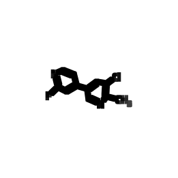 Cc1ncc(-c2ccnc(F)c2)cc1Cl